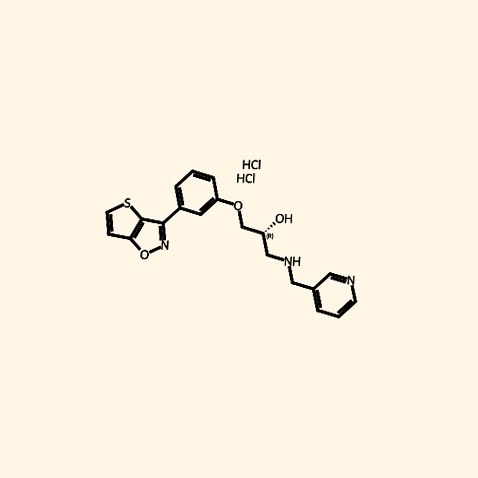 Cl.Cl.O[C@H](CNCc1cccnc1)COc1cccc(-c2noc3ccsc23)c1